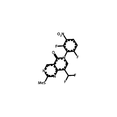 CSc1ncc2c(=O)n(-c3c(F)ccc([N+](=O)[O-])c3F)cc(C(F)F)c2n1